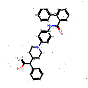 C=C(O)C(c1ccccc1)C1CCN(c2ccc(NC(=O)c3ccccc3-c3ccccc3)cc2)CC1